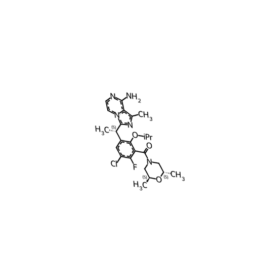 Cc1nc([C@@H](C)c2cc(Cl)c(F)c(C(=O)N3C[C@H](C)O[C@@H](C)C3)c2OC(C)C)n2ccnc(N)c12